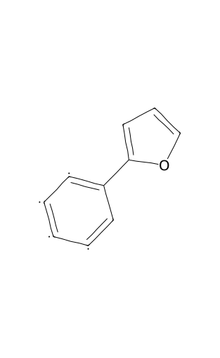 [c]1[c][c]c(-c2ccco2)c[c]1